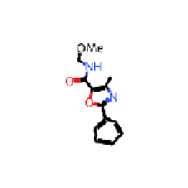 COCNC(=O)c1oc(-c2ccccc2)nc1C